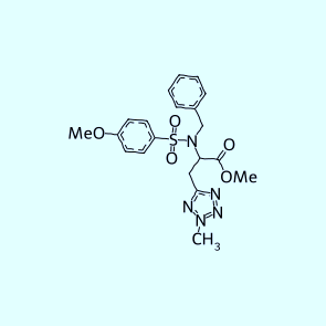 COC(=O)C(Cc1nnn(C)n1)N(Cc1ccccc1)S(=O)(=O)c1ccc(OC)cc1